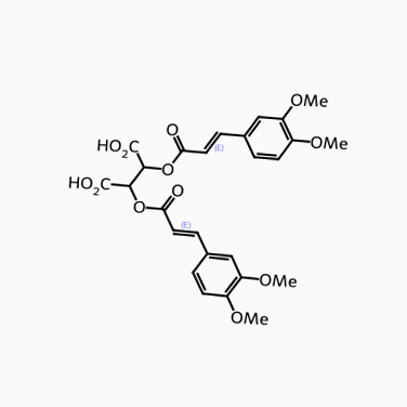 COc1ccc(/C=C/C(=O)OC(C(=O)O)C(OC(=O)/C=C/c2ccc(OC)c(OC)c2)C(=O)O)cc1OC